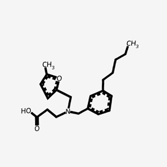 CCCCCc1cccc(CN(CCC(=O)O)Cc2ccc(C)o2)c1